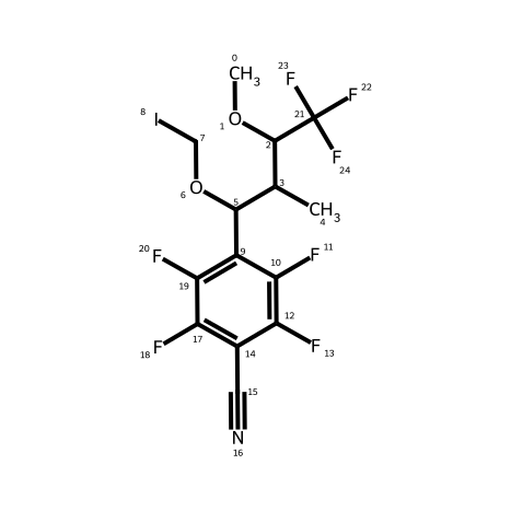 COC(C(C)C(OCI)c1c(F)c(F)c(C#N)c(F)c1F)C(F)(F)F